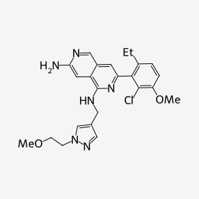 CCc1ccc(OC)c(Cl)c1-c1cc2cnc(N)cc2c(NCc2cnn(CCOC)c2)n1